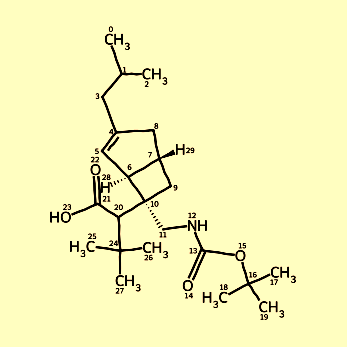 CC(C)CC1=C[C@H]2[C@H](C1)C[C@@]2(CNC(=O)OC(C)(C)C)C(C(=O)O)C(C)(C)C